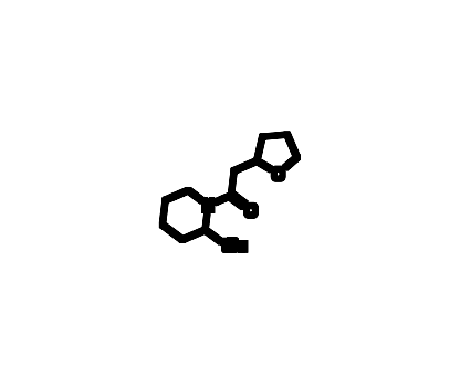 CC(C)(C)C1CCCCN1C(=O)CC1CCCO1